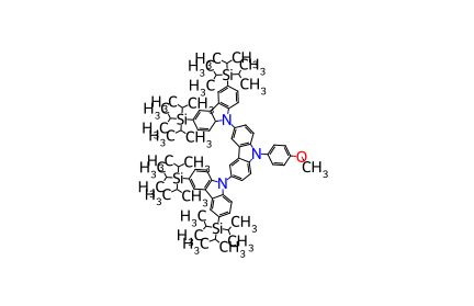 COc1ccc(-n2c3ccc(N4c5ccc([Si](C(C)C)(C(C)C)C(C)C)cc5C5C=C([Si](C(C)C)(C(C)C)C(C)C)C=CC54)cc3c3cc(-n4c5ccc([Si](C(C)C)(C(C)C)C(C)C)cc5c5cc([Si](C(C)C)(C(C)C)C(C)C)ccc54)ccc32)cc1